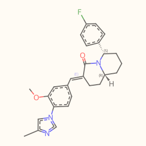 COc1cc(/C=C2\CC[C@H]3CCC[C@@H](c4ccc(F)cc4)N3C2=O)ccc1-n1cnc(C)c1